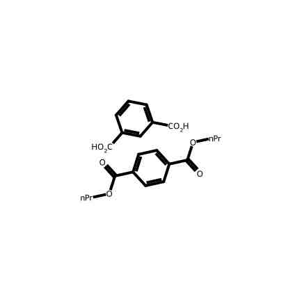 CCCOC(=O)c1ccc(C(=O)OCCC)cc1.O=C(O)c1cccc(C(=O)O)c1